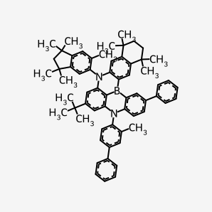 Cc1cc(-c2ccccc2)ccc1N1c2ccc(-c3ccccc3)cc2B2c3cc4c(cc3N(c3cc5c(cc3C)C(C)(C)CC5(C)C)c3cc(C(C)(C)C)cc1c32)C(C)(C)CCC4(C)C